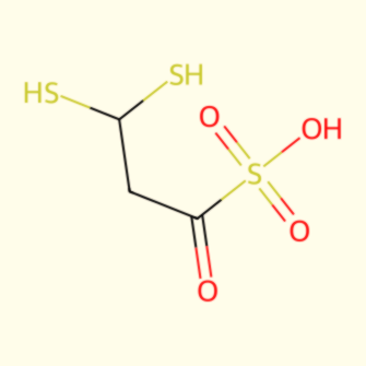 O=C(CC(S)S)S(=O)(=O)O